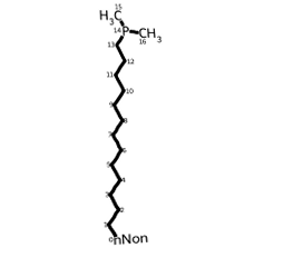 CCCCCCCCCCCCCCCCCCCCCCP(C)C